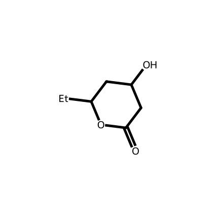 CCC1CC(O)CC(=O)O1